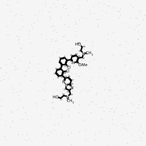 COc1nc(-c2cccc(-c3cccc(C4=NN5CC(CN(C)CCO)N=C5C=C4)c3Cl)c2Cl)ccc1CN(C)CCO